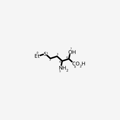 CCSCCC(N)C(O)C(=O)O